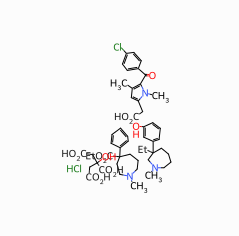 CCC1(c2cccc(O)c2)CCCCN(C)C1.CCOC(=O)C1(c2ccccc2)CCCN(C)CC1.Cc1cc(CC(=O)O)n(C)c1C(=O)c1ccc(Cl)cc1.Cl.O=C(O)CC(O)(CC(=O)O)C(=O)O